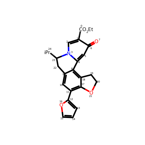 CCOC(=O)c1cn2c(cc1=O)-c1c(cc(-c3ccco3)c3c1CCO3)CC2C(C)C